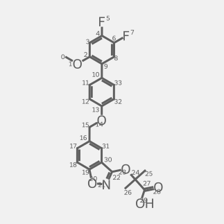 COc1cc(F)c(F)cc1-c1ccc(OCc2ccc3onc(OC(C)(C)C(=O)O)c3c2)cc1